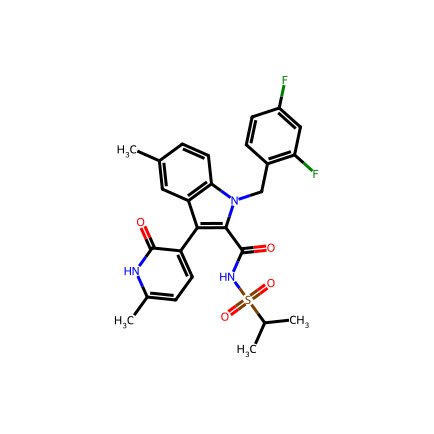 Cc1ccc2c(c1)c(-c1ccc(C)[nH]c1=O)c(C(=O)NS(=O)(=O)C(C)C)n2Cc1ccc(F)cc1F